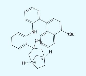 CC(C)(C)c1ccc(-c2ccccc2Nc2ccccc2C2(C)C[C@@H]3CC[C@@H](C3)C2)c2ccccc12